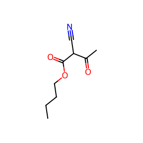 CCCCOC(=O)C(C#N)C(C)=O